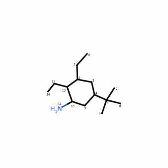 CCC1CC(C(C)(C)C)CC(N)C1CC